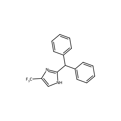 FC(F)(F)c1c[nH]c(C(c2ccccc2)c2ccccc2)n1